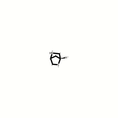 C1S[C@H]2CNC1C2